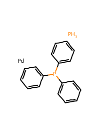 P.[Pd].c1ccc(P(c2ccccc2)c2ccccc2)cc1